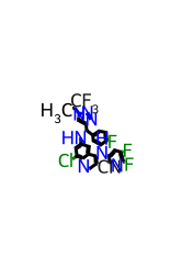 CC(n1cc(C(Nc2cc(Cl)c3ncc(C#N)c(Nc4cnc(F)c(F)c4)c3c2)c2ccc(F)cc2)nn1)C(F)(F)F